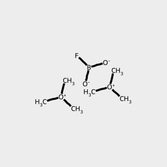 C[O+](C)C.C[O+](C)C.[O-]B([O-])F